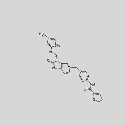 Cc1cc(N/C=C2\C(=O)Nc3ccc(Cc4ccc(NC(=O)C5=CCCS5)cc4)cc32)[nH]n1